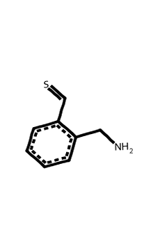 NCc1ccccc1C=S